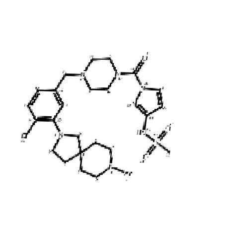 CC(=O)N1CCC2(CC1)CCN(c1cc(CN3CCN(C(=O)n4ccc(NS(C)(=O)=O)n4)CC3)ccc1Cl)C2